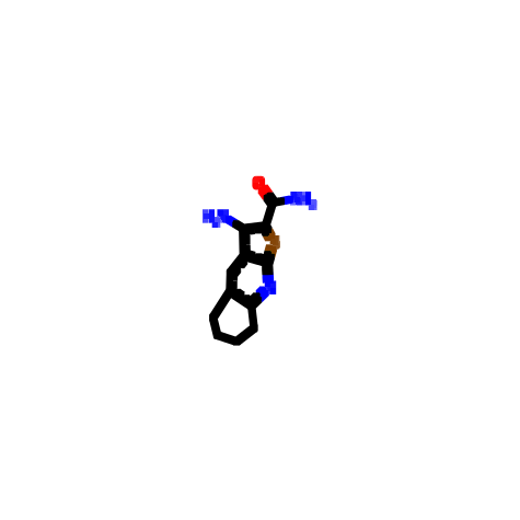 NC(=O)c1sc2nc3c(cc2c1N)CCCC3